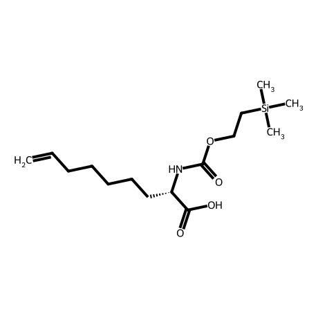 C=CCCCCC[C@H](NC(=O)OCC[Si](C)(C)C)C(=O)O